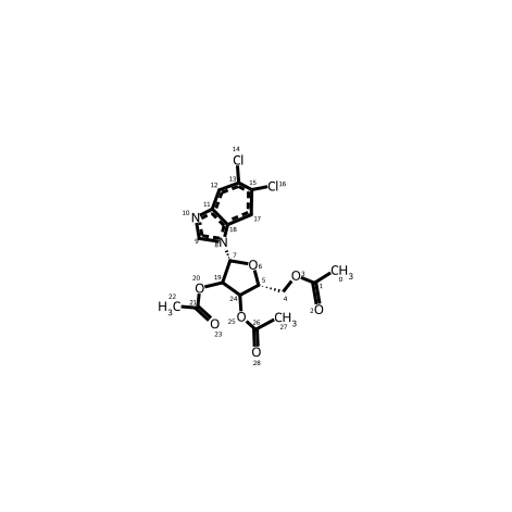 CC(=O)OC[C@H]1O[C@@H](n2cnc3cc(Cl)c(Cl)cc32)C(OC(C)=O)C1OC(C)=O